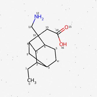 CCC1C2CCC3C1C(C2)C3(CN)CC(=O)O